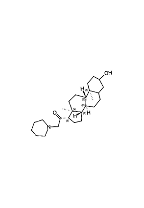 C[C@]12CC[C@H]3[C@@H](CCC4CC(O)CC[C@@]43C)[C@@H]1CC[C@@H]2C(=O)CN1CCCCC1